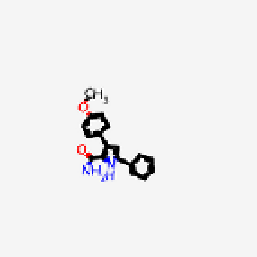 COc1ccc(-c2cc(-c3ccccc3)[nH]c2C(N)=O)cc1